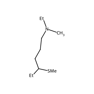 CCC(CCCN(C)CC)SC